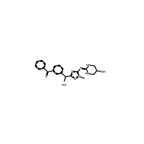 CC(c1cccc(C(=O)c2ccccc2)c1)c1nc(N=C2NCC(O)CN2)n(C)n1.Cl